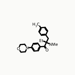 CCC(Cc1ccc(C)cc1)(NC)C(=O)c1ccc(N2CCOCC2)cc1